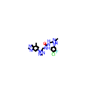 Cc1nc(CNC(=O)NCc2ncnn2-c2cc(C)c3cncnc3c2)n(-c2ccc(Cl)c(F)c2)n1